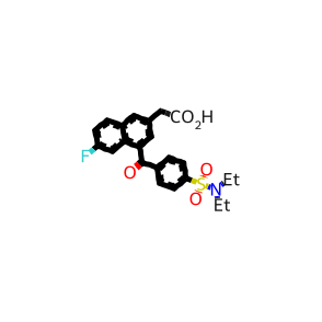 CCN(CC)S(=O)(=O)c1ccc(C(=O)c2cc(CC(=O)O)cc3ccc(F)cc23)cc1